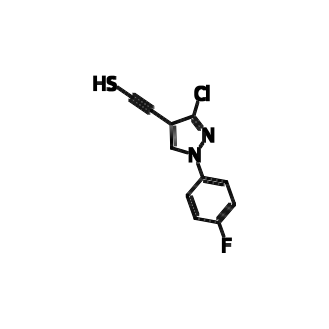 Fc1ccc(-n2cc(C#CS)c(Cl)n2)cc1